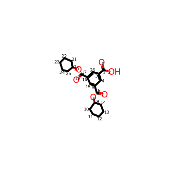 O=C(O)c1cc(C(=O)OC2CCCCC2)cc(C(=O)OC2CCCCC2)c1